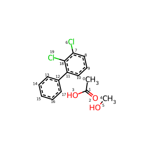 CC(=O)O.CO.Clc1cccc(-c2ccccc2)c1Cl